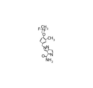 Cc1cc(Cn2cc3c(C(N)=O)nccc3n2)ccc1OCC(C)(F)F